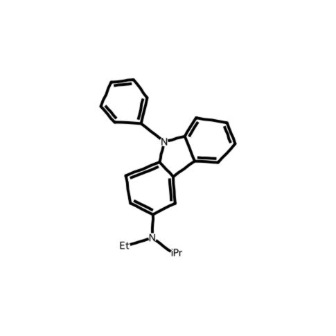 CCN(c1ccc2c(c1)c1ccccc1n2-c1ccccc1)C(C)C